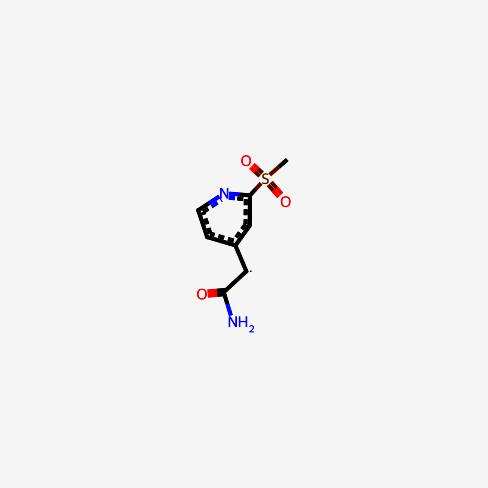 CS(=O)(=O)c1cc([CH]C(N)=O)ccn1